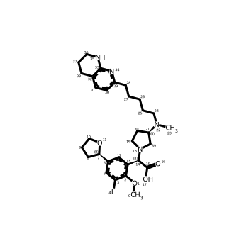 COc1c(F)cc([C@H]2CCCO2)cc1[C@H](C(=O)O)N1CC[C@@H](N(C)CCCCCc2ccc3c(n2)NCCC3)C1